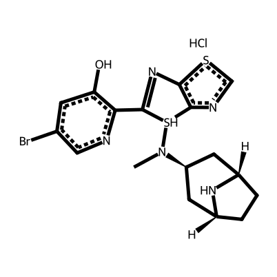 CN([C@@H]1C[C@H]2CC[C@@H](C1)N2)[SH]1C(c2ncc(Br)cc2O)=Nc2scnc21.Cl